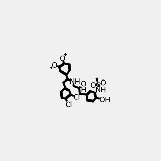 COc1ccc(C(Cc2ccc(Cl)c(Cl)c2)NCC(O)Cc2ccc(O)c(NS(C)(=O)=O)c2)cc1OC